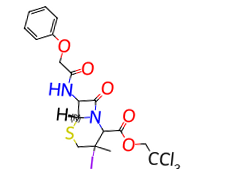 CC1(I)CS[C@@H]2C(NC(=O)COc3ccccc3)C(=O)N2C1C(=O)OCC(Cl)(Cl)Cl